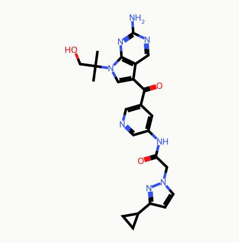 CC(C)(CO)n1cc(C(=O)c2cncc(NC(=O)Cn3ccc(C4CC4)n3)c2)c2cnc(N)nc21